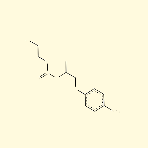 CC(COc1ccc(C(C)(C)C)cc1)OS(=O)OCCCl